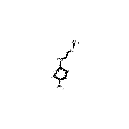 COCCNc1ccc(N)cn1